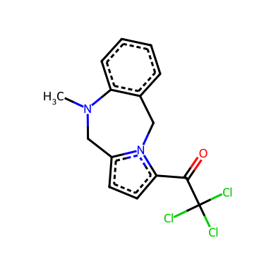 CN1Cc2ccc(C(=O)C(Cl)(Cl)Cl)n2Cc2ccccc21